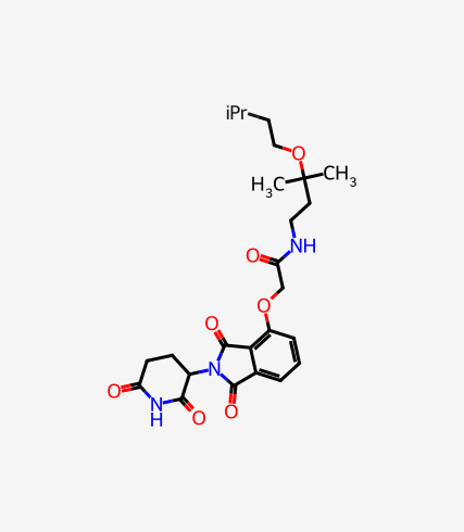 CC(C)CCOC(C)(C)CCNC(=O)COc1cccc2c1C(=O)N(C1CCC(=O)NC1=O)C2=O